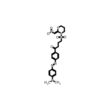 CN(C)c1ccc(N=Nc2ccc(C(=O)CCCS(=O)(=O)N3CCCSC3=C[N+](=O)[O-])cc2)cc1